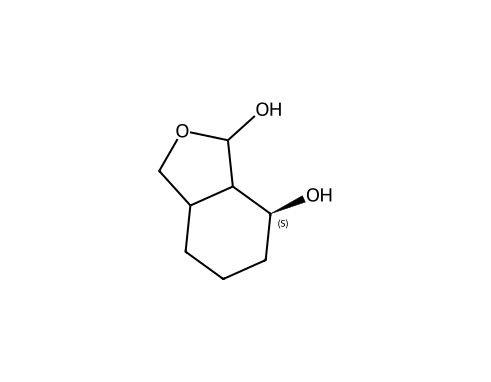 OC1OCC2CCC[C@H](O)C21